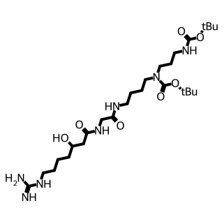 CC(C)(C)OC(=O)NCCCN(CCCCNC(=O)CNC(=O)CC(O)CCCCNC(=N)N)C(=O)OC(C)(C)C